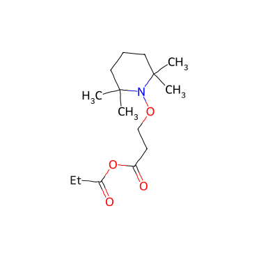 CCC(=O)OC(=O)CCON1C(C)(C)CCCC1(C)C